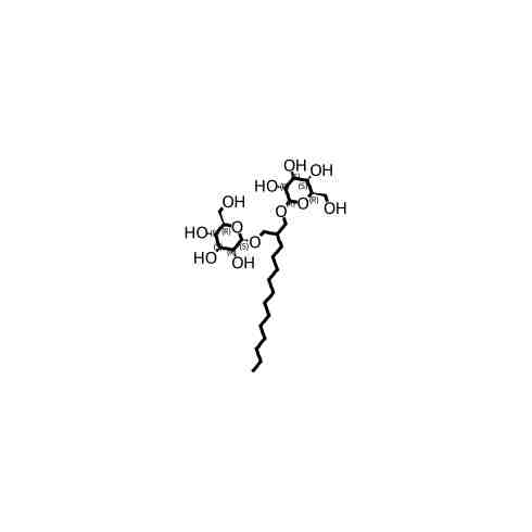 CCCCCCCCCCCCC(CO[C@@H]1O[C@H](CO)[C@@H](O)[C@H](O)[C@H]1O)CO[C@H]1O[C@H](CO)[C@@H](O)[C@H](O)[C@H]1O